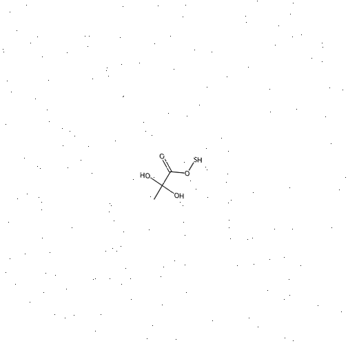 CC(O)(O)C(=O)OS